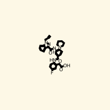 C#CCn1nc(C(=O)Nc2cc(C(=O)Nc3ccc(F)cc3CC(=O)O)ccc2N2CCCCC2)c2ccccc21